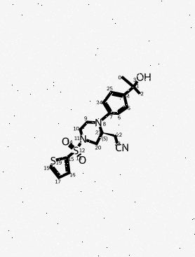 CC(C)(O)c1ccc(N2CCN(S(=O)(=O)c3cccs3)C[C@@H]2CC#N)cc1